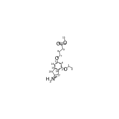 CCOc1cc(OCCCC(=O)OC)cc2c1CC(N)C2